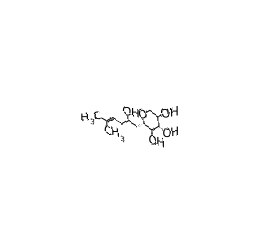 CC(C)=CCC(O)C[C@@H]1OC[C@@H](O)[C@H](O)[C@H]1O